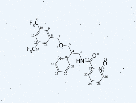 O=C(NCC(COCc1cc(C(F)(F)F)cc(C(F)(F)F)c1)c1ccccc1)c1cccc[n+]1[O-]